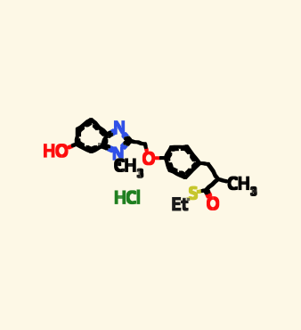 CCSC(=O)C(C)Cc1ccc(OCc2nc3ccc(O)cc3n2C)cc1.Cl